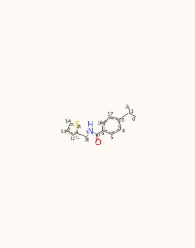 CC(C)c1ccc(C(=O)NCc2cccs2)cc1